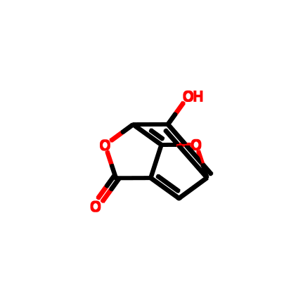 O=C1Oc2c(O)c3cc1c2o3